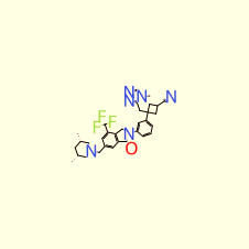 C[C@@H]1C[C@H](C)CN(Cc2cc3c(c(C(F)(F)F)c2)CN(c2cccc(C4(Cc5nncn5C)CC(C#N)C4)c2)C3=O)C1